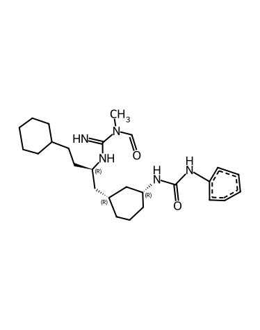 CN(C=O)C(=N)N[C@H](CCC1CCCCC1)C[C@H]1CCC[C@@H](NC(=O)Nc2ccccc2)C1